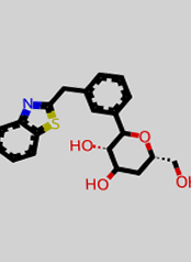 OC[C@@H]1CC(O)[C@H](O)C(c2cccc(Cc3nc4ccccc4s3)c2)O1